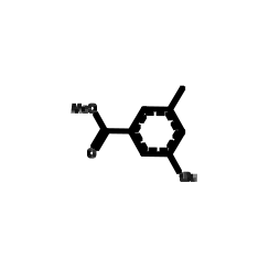 COC(=O)c1cc(C)cc(C(C)(C)C)c1